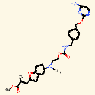 CN(CCOC(=O)NCc1ccc(COc2nccc(N)n2)cc1)c1ccc2oc(/C=C(\C#N)C(=O)OC(C)(C)C)cc2c1